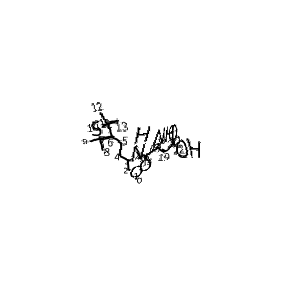 COCC(CCC1C(C)(C)SC1(C)C)NC(=O)[C@@H](N)CC(=O)O